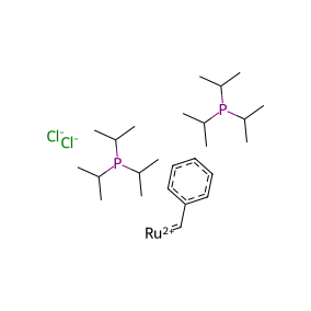 CC(C)P(C(C)C)C(C)C.CC(C)P(C(C)C)C(C)C.[Cl-].[Cl-].[Ru+2]=[CH]c1ccccc1